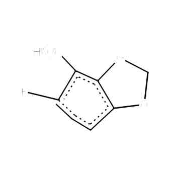 O=C(O)c1c(F)ccc2c1OCO2